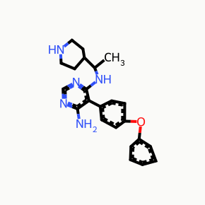 CC(Nc1ncnc(N)c1-c1ccc(Oc2ccccc2)cc1)C1CCNCC1